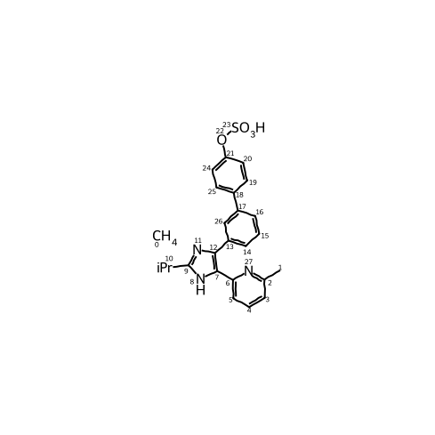 C.Cc1cccc(-c2[nH]c(C(C)C)nc2-c2cccc(-c3ccc(OS(=O)(=O)O)cc3)c2)n1